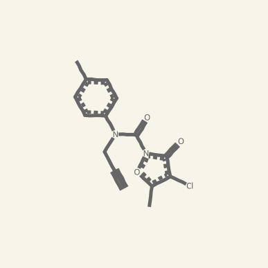 C#CCN(C(=O)n1oc(C)c(Cl)c1=O)c1ccc(C)cc1